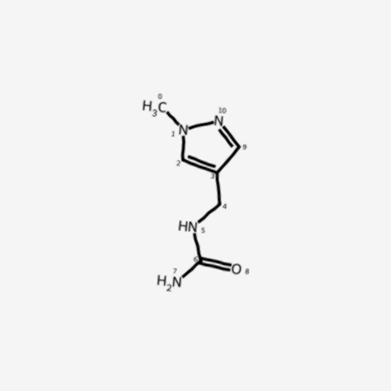 Cn1cc(CNC(N)=O)cn1